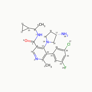 Cc1ncc(C(=O)NC(C)C2CC2)c(N2CC[C@H](N)C2)c1-c1cc(F)cc(Cl)c1